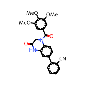 COc1cc(C(=O)N2CC(=O)Nc3cc(-c4ccccc4C#N)ccc32)cc(OC)c1OC